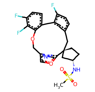 CS(=O)(=O)N[C@H]1CC[C@@]2(Cc3ccc(F)c(c3)-c3ccc(F)c(F)c3OCc3coc2n3)C1